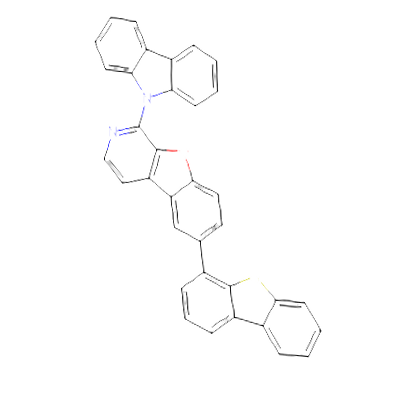 c1ccc2c(c1)sc1c(-c3ccc4oc5c(-n6c7ccccc7c7ccccc76)nccc5c4c3)cccc12